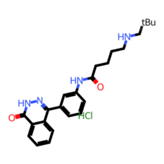 CC(C)(C)CNCCCCC(=O)Nc1cccc(-c2n[nH]c(=O)c3ccccc23)c1.Cl